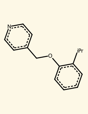 CC(C)c1ccccc1OCc1ccncc1